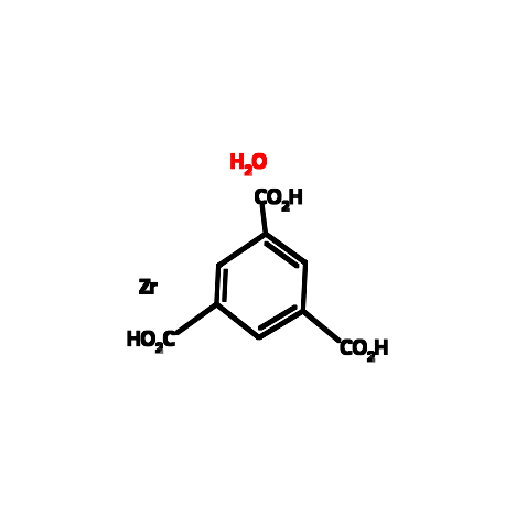 O.O=C(O)c1cc(C(=O)O)cc(C(=O)O)c1.[Zr]